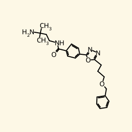 CC(C)(N)CCNC(=O)c1ccc(-c2nnc(CCCOCc3ccccc3)o2)cc1